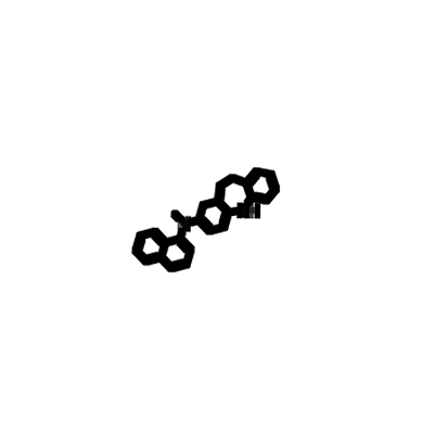 CN(C1=CC=C2Nc3ccccc3CC=C2C1)c1cccc2ccccc12